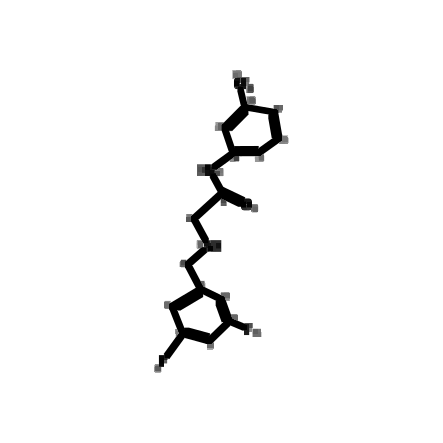 O=C(CNCc1cc(F)cc(F)c1)Nc1cccc(C(F)(F)F)c1